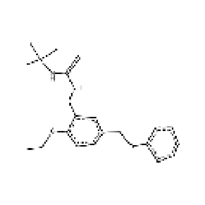 C=C(NCc1cc(COc2ccccc2)ccc1OCC)NC(C)(C)C